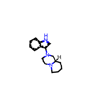 c1ccc2c(N3CCN4CCCC[C@H]4C3)c[nH]c2c1